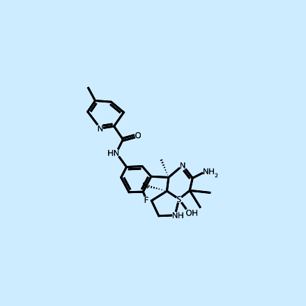 Cc1ccc(C(=O)Nc2ccc(F)c([C@@]3(C)N=C(N)C(C)(C)S4(O)NCC[C@@H]34)c2)nc1